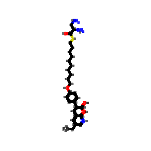 NCC(N)C(=O)SCCCCCCCCCCOc1ccc(-c2cc3cc(CC(F)(F)F)cnc3oc2=O)cc1